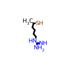 CC(S)CCCCNC(=N)N